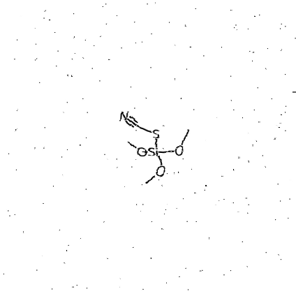 CO[Si](OC)(OC)SC#N